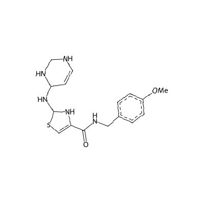 COc1ccc(CNC(=O)C2=CSC(NC3C=CNCN3)N2)cc1